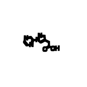 O=C(O)Cc1cnn(-c2cnccn2)c1